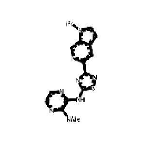 CNc1nccnc1Nc1nc(-c2cc3ccn(C(C)C)c3cn2)ns1